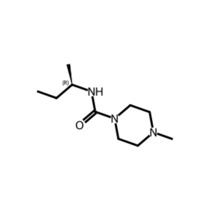 CC[C@@H](C)NC(=O)N1CCN(C)CC1